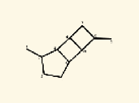 CC1CCC2C1C1CC(C)C21